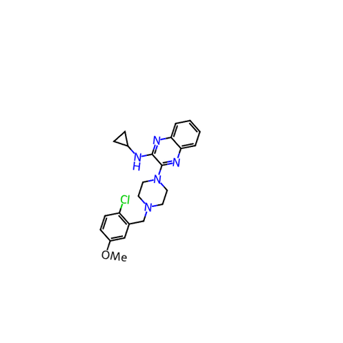 COc1ccc(Cl)c(CN2CCN(c3nc4ccccc4nc3NC3CC3)CC2)c1